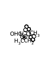 C=C(C)C(=O)OCC=O.CC(C)(c1ccc2cccc3c2c1C=CC3)c1ccc2cccc3c2c1C=CC3